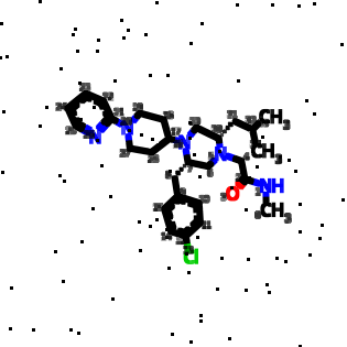 CNC(=O)CN1C[C@H](Cc2ccc(Cl)cc2)N(C2CCN(c3ccccn3)CC2)C[C@@H]1CC(C)C